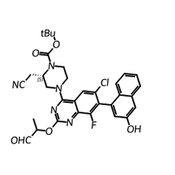 CC(C=O)Oc1nc(N2CCN(C(=O)OC(C)(C)C)[C@@H](CC#N)C2)c2cc(Cl)c(-c3cc(O)cc4ccccc34)c(F)c2n1